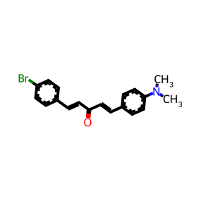 CN(C)c1ccc(C=CC(=O)C=Cc2ccc(Br)cc2)cc1